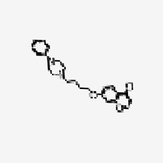 O=c1ccoc2cc(OCCCCN3CCN(c4ccccc4)CC3)ccc12